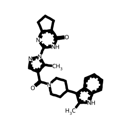 Cc1[nH]c2ccccc2c1C1CCN(C(=O)c2cnn(-c3nc4c(c(=O)[nH]3)CCC4)c2C)CC1